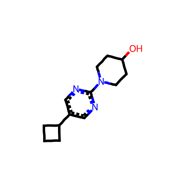 OC1CCN(c2ncc(C3CCC3)cn2)CC1